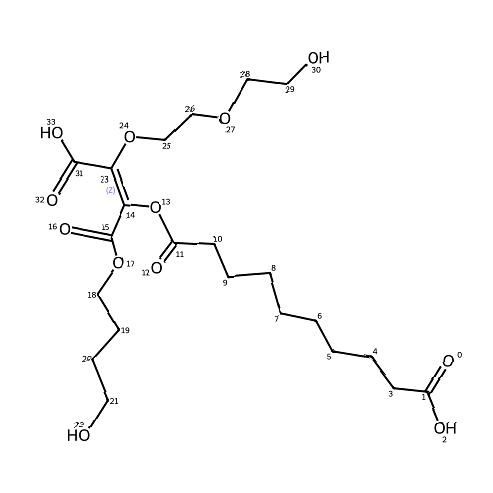 O=C(O)CCCCCCCCC(=O)O/C(C(=O)OCCCCO)=C(\OCCOCCO)C(=O)O